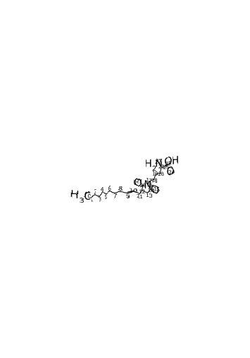 CCCCCCCCCC=CCC1CC(=O)N(CCCCC(N)C(=O)O)C1=O